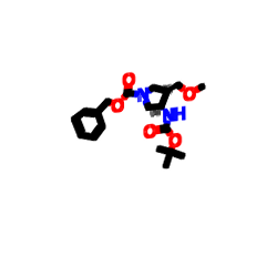 COC[C@@H]1CN(C(=O)OCc2ccccc2)C[C@H]1NC(=O)OC(C)(C)C